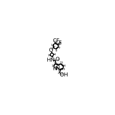 O=C(N[C@H]1C[C@H](Oc2ccc(F)c(C(F)(F)F)c2)C1)c1cnn2c(CO)cccc12